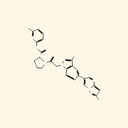 CC(=O)c1nn(CC(=O)N2C[C@H](F)C[C@H]2C(=O)Nc2cccc(Br)n2)c2ccc(-c3cnc4cc(C(C)C)nn4c3)cc12